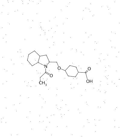 CCC(=O)N1C(COC2CCC(C(=O)O)CC2)CC2CCCCC21